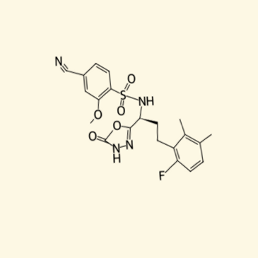 COc1cc(C#N)ccc1S(=O)(=O)N[C@@H](CCc1c(F)ccc(C)c1C)c1n[nH]c(=O)o1